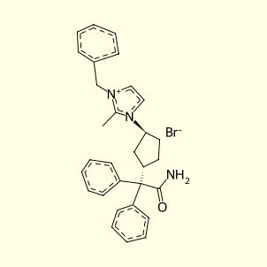 Cc1n([C@H]2CC[C@H](C(C(N)=O)(c3ccccc3)c3ccccc3)C2)cc[n+]1Cc1ccccc1.[Br-]